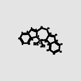 C[CH2][Hf]1([CH2]C)[CH]2C(=Cc3ccccc32)CCC2=Cc3ccccc3[CH]21